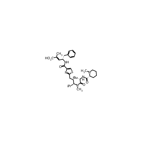 CCC(C)[C@H](NC(=O)[C@H]1CCCCN1C)C(=O)N(C)[C@H](CCc1nc(C(=O)N[C@H](/C=C(\C)C(=O)O)Cc2ccccc2)cs1)C(C)C